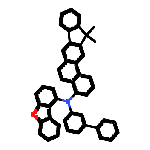 CC1(C)c2ccccc2-c2cc3ccc4c(N(c5cccc(-c6ccccc6)c5)c5cccc6oc7ccccc7c56)cccc4c3cc21